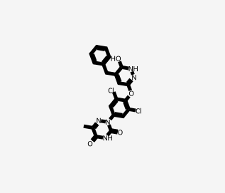 Cc1nn(-c2cc(Cl)c(OC3=NNC(O)C(Cc4ccccc4)=C3)c(Cl)c2)c(=O)[nH]c1=O